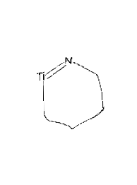 C1C[CH2][Ti]=[N]C1